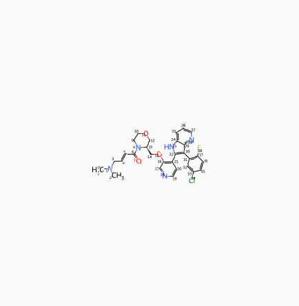 CN(C)C/C=C/C(=O)N1CCOC[C@H]1COc1cnccc1-c1[nH]c2cccnc2c1-c1cc(Cl)ccc1F